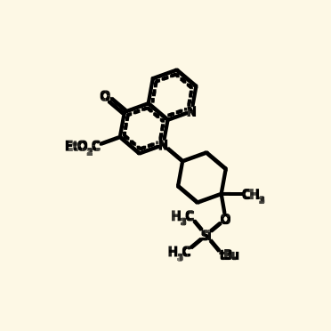 CCOC(=O)c1cn(C2CCC(C)(O[Si](C)(C)C(C)(C)C)CC2)c2ncccc2c1=O